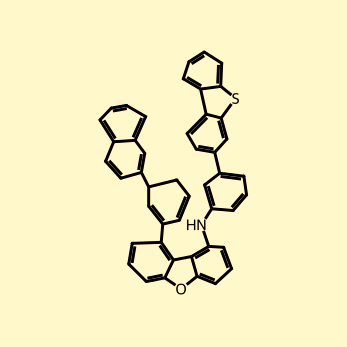 C1=CC(c2cccc3oc4cccc(Nc5cccc(-c6ccc7c(c6)sc6ccccc67)c5)c4c23)=CC(c2ccc3ccccc3c2)C1